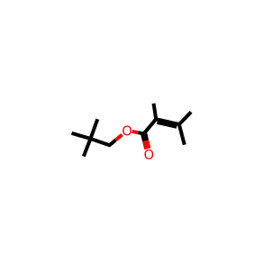 CC(C)=C(C)C(=O)OCC(C)(C)C